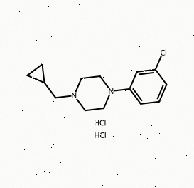 Cl.Cl.Clc1cccc(N2CCN(CC3CC3)CC2)c1